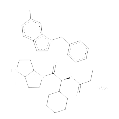 CN[C@@H](C)C(=O)N[C@H](C(=O)N1CC[C@H]2NC[C@H](c3cn(Cc4ccccc4)c4cc(F)ccc34)[C@]21C)C1CCCCC1